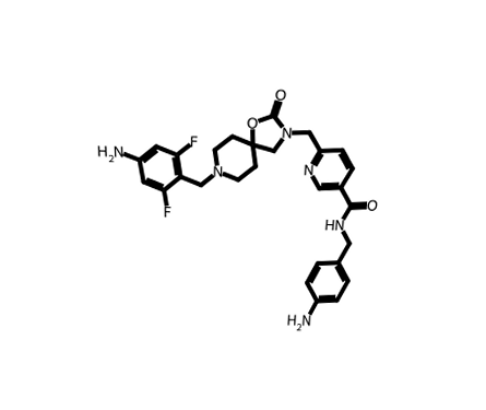 Nc1ccc(CNC(=O)c2ccc(CN3CC4(CCN(Cc5c(F)cc(N)cc5F)CC4)OC3=O)nc2)cc1